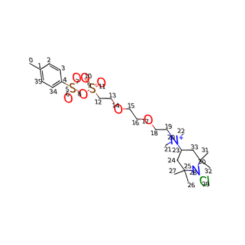 Cc1ccc(S(=O)(=O)OS(=O)(=O)CCOCCOCC[N+](C)(C)C2CC(C)(C)N(Cl)C(C)(C)C2)cc1